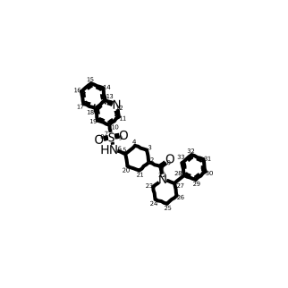 O=C(C1CCC(NS(=O)(=O)c2cnc3ccccc3c2)CC1)N1CCCCC1c1ccccc1